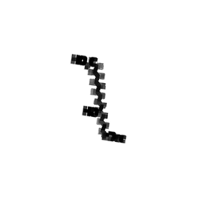 CCCCCCCCCCCCCCC(O)CCCCCCCCCC(=O)O